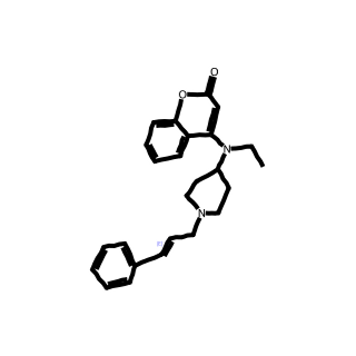 CCN(c1cc(=O)oc2ccccc12)C1CCN(C/C=C/c2ccccc2)CC1